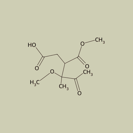 COC(=O)C(CC(=O)O)C(C)(OC)C(C)=O